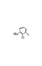 CC(C)(C)c1cccc(I)c1Cl